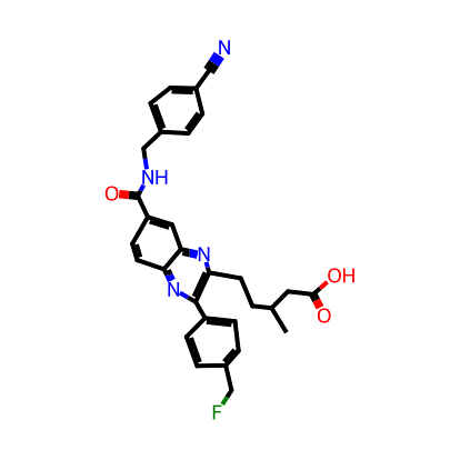 CC(CCc1nc2cc(C(=O)NCc3ccc(C#N)cc3)ccc2nc1-c1ccc(CF)cc1)CC(=O)O